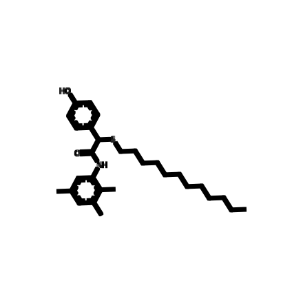 CCCCCCCCCCCCSC(C(=O)Nc1cc(C)cc(C)c1C)c1ccc(O)cc1